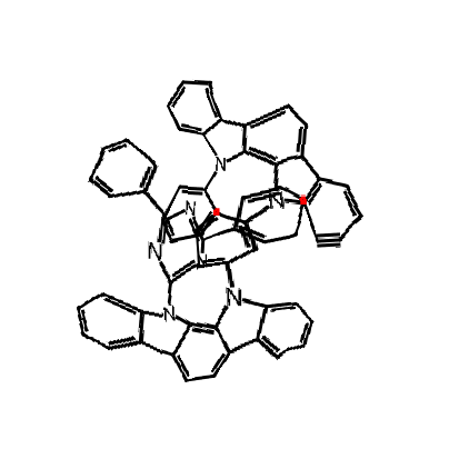 c1ccc2c3ccc4c5ccccc5n(-c5ccccc5)c4c3n(-c3cccc(-n4c5ccccc5c5ccc6c7ccccc7n(-c7nc(C8=CCCC=C8)nc(-c8ccccc8)n7)c6c54)c3)c2c#1